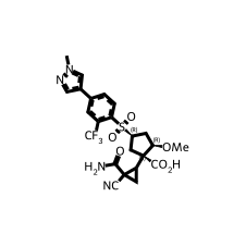 CO[C@@H]1C[C@H](S(=O)(=O)c2ccc(-c3cnn(C)c3)cc2C(F)(F)F)C[C@@]1(C(=O)O)C1CC1(C#N)C(N)=O